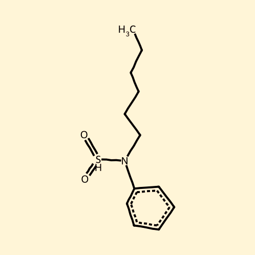 CCCCCCN(c1ccccc1)[SH](=O)=O